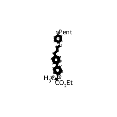 CCCCC[C@H]1CC[C@H](CCCCc2ccc(-c3ccc(O[C@H](C)C(=O)OCC)cc3)cc2)CC1